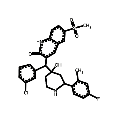 Cc1cc(F)ccc1C1CC(O)(C(c2cccc(Cl)c2)c2cc3cc(S(C)(=O)=O)ccc3[nH]c2=O)CCN1